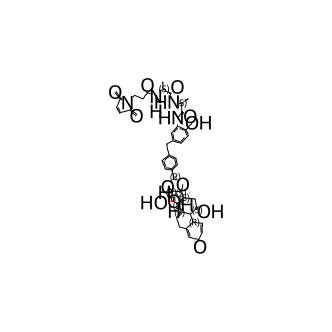 C[C@H](NC(=O)CCN1C(=O)C=CC1=O)C(=O)N[C@@H](C)C(=O)Nc1cc(Cc2ccc([C@@H]3O[C@@H]4C[C@H]5[C@@H]6CCC7=CC(=O)C=C[C@]7(C)C6[C@@H](O)C[C@]5(C)[C@]4(C(=O)CO)O3)cc2)ccc1O